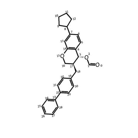 O=CO[C@H]1c2ccc(C3CCCC3)cc2OC[C@@H]1Cc1ccc(-c2ccccc2)cc1